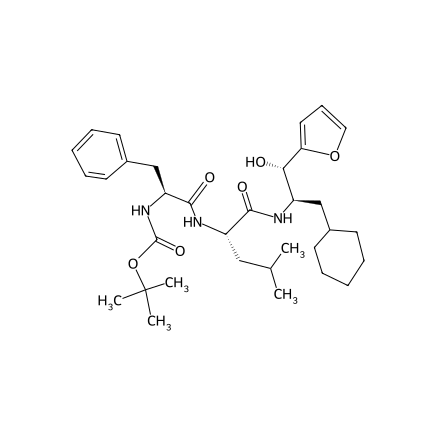 CC(C)C[C@H](NC(=O)[C@H](Cc1ccccc1)NC(=O)OC(C)(C)C)C(=O)N[C@H](CC1CCCCC1)[C@H](O)c1ccco1